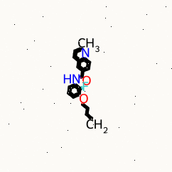 C=CCCCOc1cccc(NC(=O)c2ccc3nc(C)ccc3c2)c1F